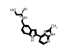 Cc1nc2c(-c3cc4cc(CN[C@@H](CO)C(C)C)ccc4[nH]3)ccnc2[nH]1